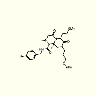 CCCCOCCCN1C[C@H]2N(C(=O)CN(C)N2C(=O)NCc2ccc(F)cc2)[C@@H](CCSC)C1=O